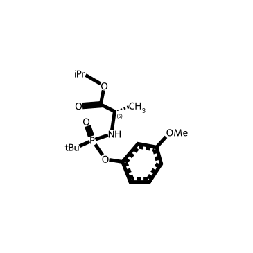 COc1cccc(OP(=O)(N[C@@H](C)C(=O)OC(C)C)C(C)(C)C)c1